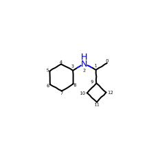 CC(NC1CCCCC1)C1CCC1